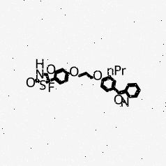 CCCc1cc(-c2onc3ccccc23)ccc1OCCCOc1ccc(C2(F)SC(=O)NC2=O)cc1